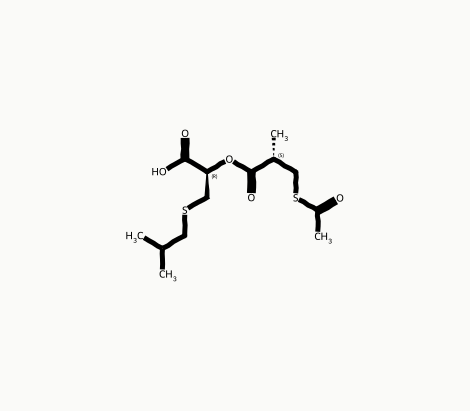 CC(=O)SC[C@@H](C)C(=O)O[C@@H](CSCC(C)C)C(=O)O